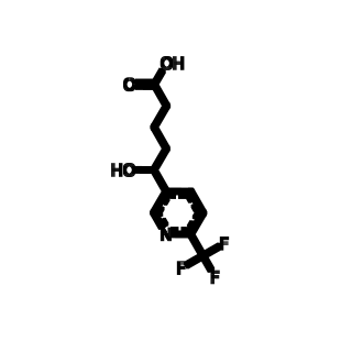 O=C(O)CCCC(O)c1ccc(C(F)(F)F)nc1